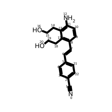 N#Cc1ccc(C=Cc2ccc(N)c(CCO)c2CCO)cc1